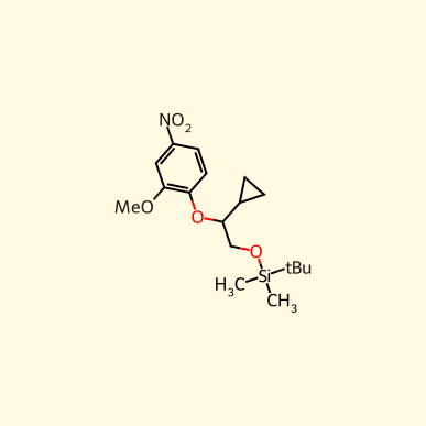 COc1cc([N+](=O)[O-])ccc1OC(CO[Si](C)(C)C(C)(C)C)C1CC1